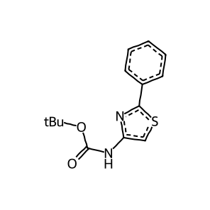 CC(C)(C)OC(=O)Nc1csc(-c2ccccc2)n1